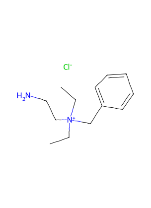 CC[N+](CC)(CCN)Cc1ccccc1.[Cl-]